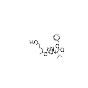 CC(CCCO)Oc1cn([C@H](C(=O)OCc2ccccc2)C(C)C)nn1